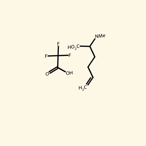 C=CCCC(NC)C(=O)O.O=C(O)C(F)(F)F